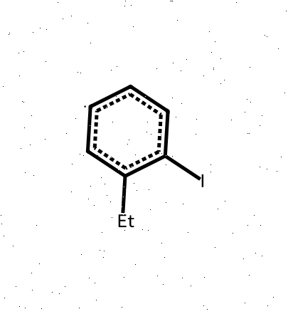 CCc1c[c]ccc1I